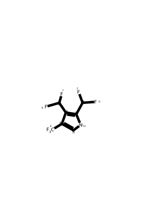 FC(F)C1=C(C(F)F)C(C(F)(F)F)=[C][N]1